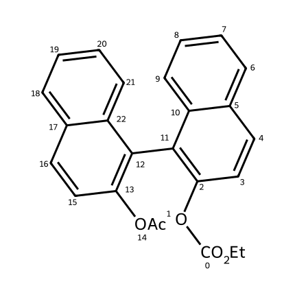 CCOC(=O)Oc1ccc2ccccc2c1-c1c(OC(C)=O)ccc2ccccc12